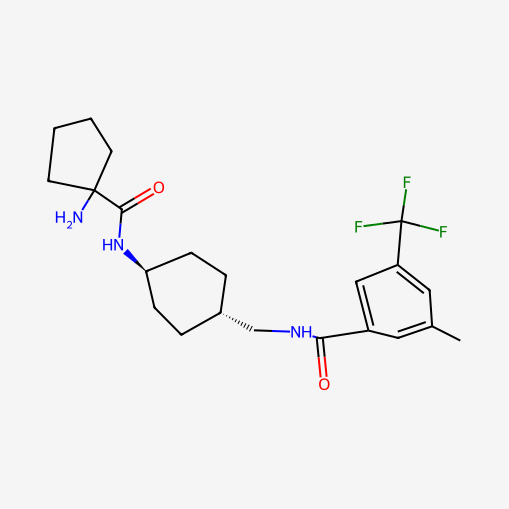 Cc1cc(C(=O)NC[C@H]2CC[C@H](NC(=O)C3(N)CCCC3)CC2)cc(C(F)(F)F)c1